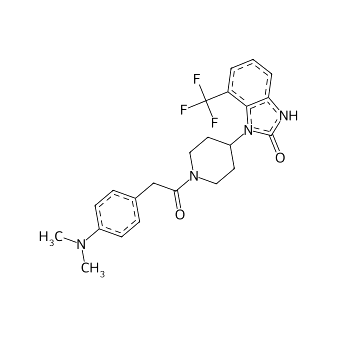 CN(C)c1ccc(CC(=O)N2CCC(n3c(=O)[nH]c4cccc(C(F)(F)F)c43)CC2)cc1